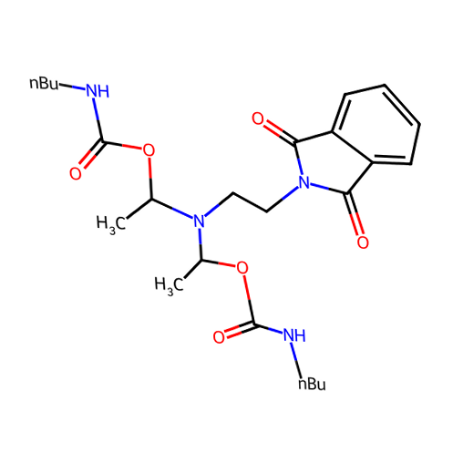 CCCCNC(=O)OC(C)N(CCN1C(=O)c2ccccc2C1=O)C(C)OC(=O)NCCCC